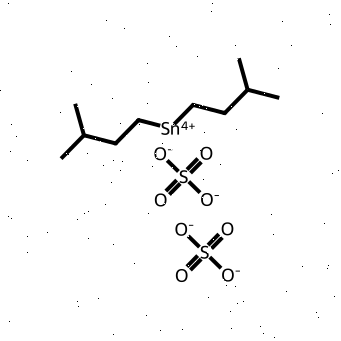 CC(C)C[CH2][Sn+4][CH2]CC(C)C.O=S(=O)([O-])[O-].O=S(=O)([O-])[O-]